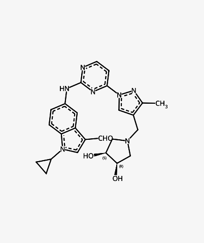 Cc1nn(-c2ccnc(Nc3ccc4c(c3)c(C=O)cn4C3CC3)n2)cc1CN1C[C@@H](O)[C@@H](O)C1